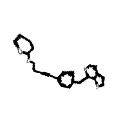 C(#Cc1ccc(Cc2nccc3ccsc23)cc1)CCOC1CCCCO1